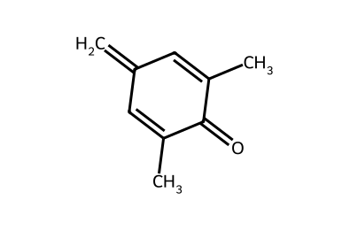 C=C1C=C(C)C(=O)C(C)=C1